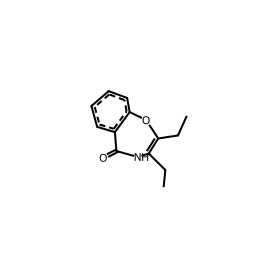 CCC1=C(CC)Oc2ccccc2C(=O)N1